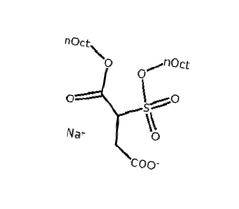 CCCCCCCCOC(=O)C(CC(=O)[O-])S(=O)(=O)OCCCCCCCC.[Na+]